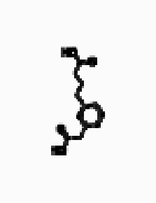 O=C(O)CCCc1cccc(CC(=O)O)c1